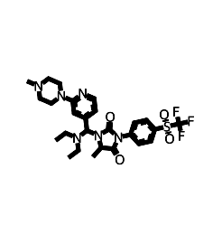 CCN(CC)C(c1ccnc(N2CCN(C)CC2)c1)N1C(=O)N(c2ccc(S(=O)(=O)C(F)(F)F)cc2)C(=O)C1C